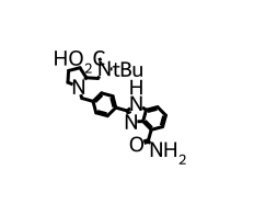 CC(C)(C)N(CC1CCCN1Cc1ccc(-c2nc3c(C(N)=O)cccc3[nH]2)cc1)C(=O)O